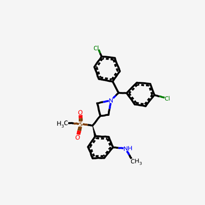 CNc1cccc([C@H](C2CN(C(c3ccc(Cl)cc3)c3ccc(Cl)cc3)C2)S(C)(=O)=O)c1